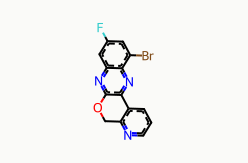 Fc1cc(Br)c2nc3c(nc2c1)OCc1ncccc1-3